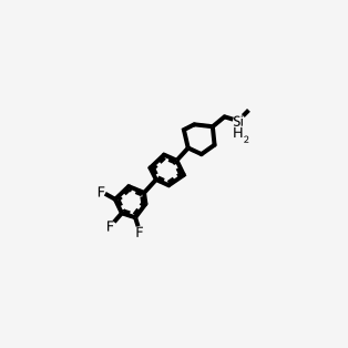 C[SiH2]CC1CCC(c2ccc(-c3cc(F)c(F)c(F)c3)cc2)CC1